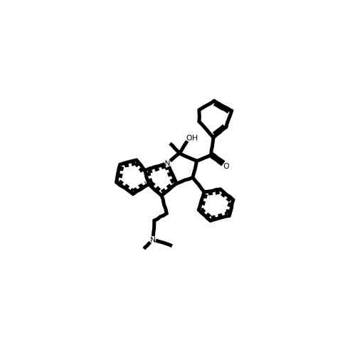 CN(C)CCc1c2n(c3ccccc13)C(C)(O)C(C(=O)C1=CC=CCC1)C2c1ccccc1